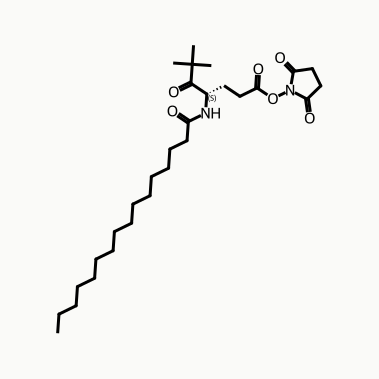 CCCCCCCCCCCCCCCC(=O)N[C@@H](CCC(=O)ON1C(=O)CCC1=O)C(=O)C(C)(C)C